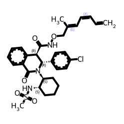 C=C/C=C\C=C(/C)CONC(=O)[C@@H]1c2ccccc2C(=O)N([C@H]2CCCC[C@@H]2NS(C)(=O)=O)[C@H]1c1ccc(Cl)cc1